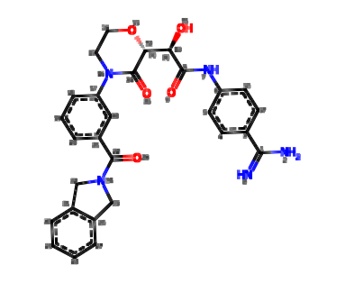 N=C(N)c1ccc(NC(=O)[C@H](O)[C@H]2OCCN(c3cccc(C(=O)N4Cc5ccccc5C4)c3)C2=O)cc1